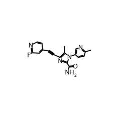 Cc1ccc(-n2c(C(N)=O)nc(C#Cc3ccnc(F)c3)c2C)cn1